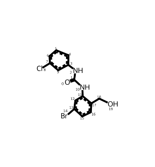 O=C(Nc1cccc(Cl)c1)Nc1cc(Br)ccc1CO